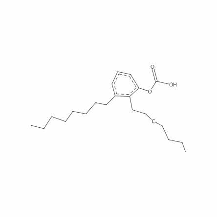 CCCCCCCCc1cccc(OC(=O)O)c1CCCCCCC